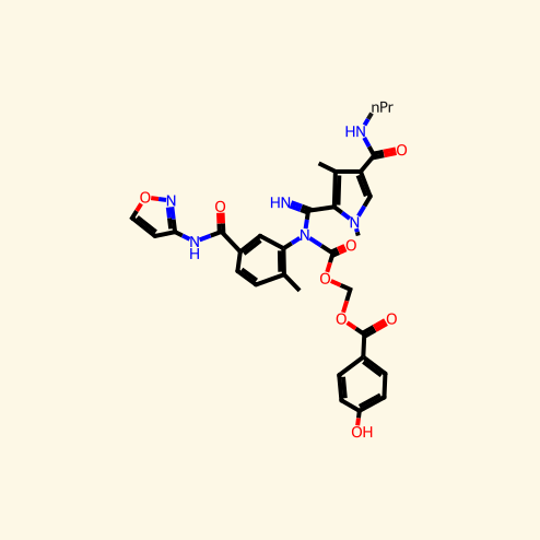 CCCNC(=O)c1cn(C)c(C(=N)N(C(=O)OCOC(=O)c2ccc(O)cc2)c2cc(C(=O)Nc3ccon3)ccc2C)c1C